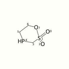 O=S1(=O)CPCCO1